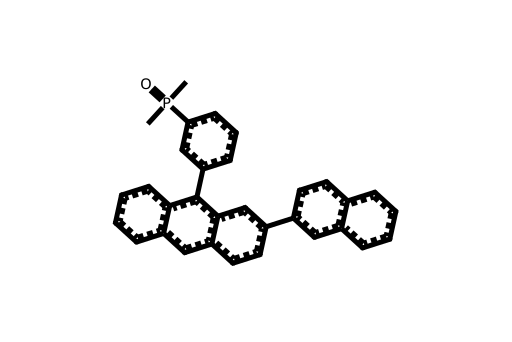 CP(C)(=O)c1cccc(-c2c3ccccc3cc3ccc(-c4ccc5ccccc5c4)cc23)c1